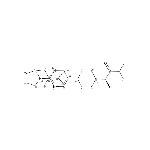 CC(C)C(=O)[C@@H](C)N1CCC(c2cnc(N3C4CCC3CN(C(C)C)C4)nc2)CC1